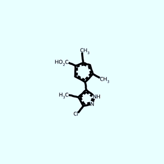 Cc1cc(C)c(-c2[nH]nc(Cl)c2C)cc1C(=O)O